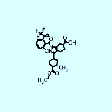 CCOC(=O)C1CCC(c2nn(C(=O)c3c(Cl)cccc3C3(C(F)(F)F)CC3)c3c2CCC(C(=O)O)C3)=C[C@@H]1C